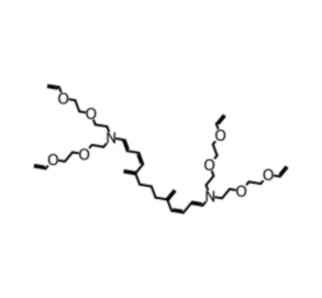 C=COCCOCCN(/C=C/C=C\C(=C)CCCC(=C)/C=C\C=C\N(CCOCCOC=C)CCOCCOC=C)CCOCCOC=C